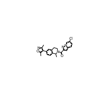 Cc1noc(C)c1-c1ccc2c(c1)CCN(C(=O)c1cc3ccc(Cl)cn3n1)C2C